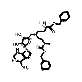 CN(CCN(CC[C@H](N)C(=O)OCc1ccccc1)C[C@H]1O[C@@H](n2cnc3c2NCNC3N)[C@H](O)[C@@H]1O)C(=O)OCc1ccccc1